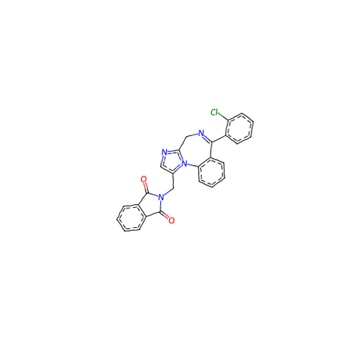 O=C1c2ccccc2C(=O)N1Cc1cnc2n1-c1ccccc1C(c1ccccc1Cl)=NC2